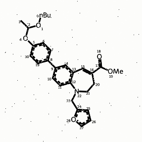 CCCCOC(C)Oc1ccc(-c2ccc3c(c2)C=C(C(=O)OC)CCN3Cc2ccco2)cc1